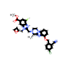 COC(=O)c1cc(F)c2nc(CN3CCn4c(nc5c(OCc6ccc(Cl)cc6C#N)cccc54)[C@@H]3C)n(C[C@@H]3CCO3)c2c1